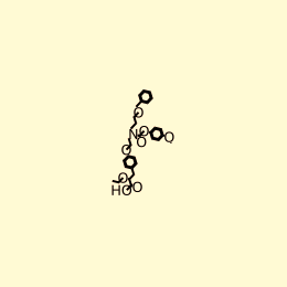 CCOC(Cc1ccc(OCCN(CCCOCc2ccccc2)C(=O)Oc2ccc(OC)cc2)cc1)C(=O)O